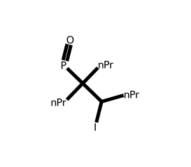 CCCC(I)C(CCC)(CCC)P=O